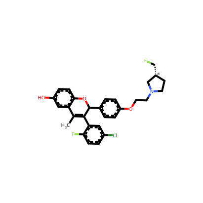 CC1=C(c2cc(Cl)ccc2F)C(c2ccc(OCCN3CC[C@@H](CF)C3)cc2)Oc2ccc(O)cc21